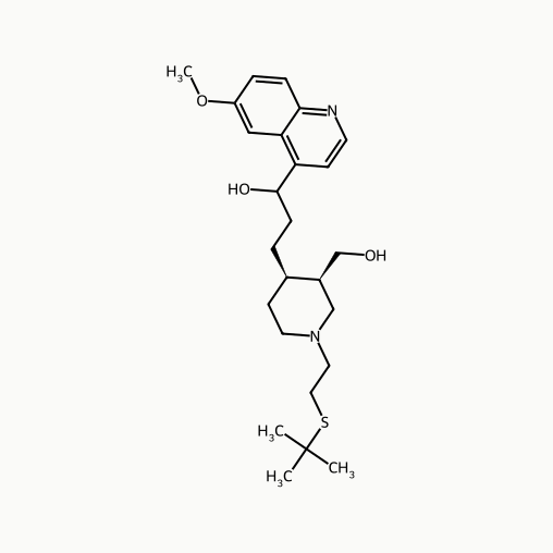 COc1ccc2nccc(C(O)CC[C@@H]3CCN(CCSC(C)(C)C)C[C@@H]3CO)c2c1